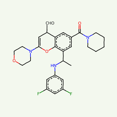 CC(Nc1cc(F)cc(F)c1)c1cc(C(=O)N2CCCCC2)cc2c1OC(N1CCOCC1)=CC2C=O